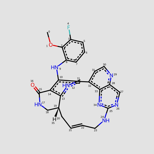 COc1c(F)cccc1Nc1c2[nH]c3c1C(=O)NC[C@H]3C/C=C/CNc1ncc3nccc-2c3n1